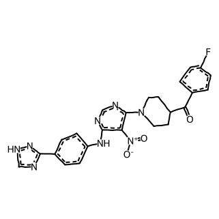 O=C(c1ccc(F)cc1)C1CCN(c2ncnc(Nc3ccc(-c4nc[nH]n4)cc3)c2[N+](=O)[O-])CC1